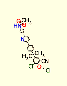 CC(C)(c1ccc(-c2ccc([C@H]3C[C@H](NS(C)(=O)=O)C3)nc2)cc1)c1cc(Cl)c(OCCCl)c(C#N)c1